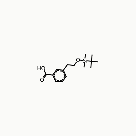 CC(C)(C)[Si](C)(C)OCCc1cccc(C(=O)O)c1